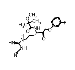 COC(C)(C)C(=O)N[C@@H](CCCNC(=N)NC#N)C(=O)COc1cccc(F)c1